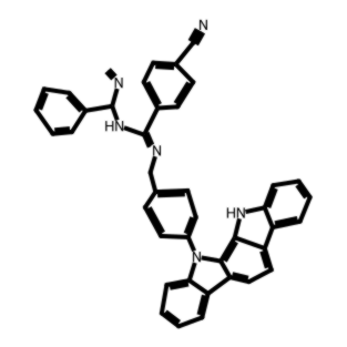 C=NC(N/C(=N\Cc1ccc(-n2c3ccccc3c3ccc4c5ccccc5[nH]c4c32)cc1)c1ccc(C#N)cc1)c1ccccc1